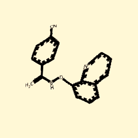 C=C(BOc1cccc2cccnc12)c1ccc(C#N)cc1